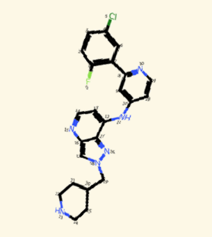 Fc1ccc(Cl)cc1-c1cc(Nc2ccnc3cn(CC4CCNCC4)nc23)ccn1